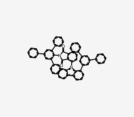 O=C1c2cccc(-n3c4ccccc4c4cccc(-c5cc(-c6ccccc6)cc(-c6ccccc6)c5)c43)c2C(=O)N1c1c(-c2ccccc2)cc(-c2ccccc2)cc1-c1ccccc1